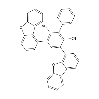 N#Cc1c(-c2cccc3c2oc2ccccc23)cc(-c2cccc3oc4ccccc4c23)c(C#N)c1-c1ccccc1